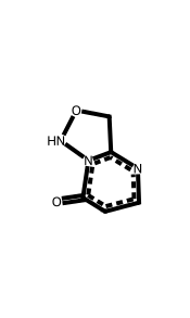 O=c1[c]cnc2n1NOC2